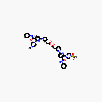 CCS(=O)(=O)N1CCN(c2nc(N3CCC[C@@H](CC(=O)OC(=O)C[C@@H]4CCCN(c5ccc(C(=O)NC6CCCCC6)c(N6CCN(C(C)=O)CC6)n5)C4)C3)ccc2C(=O)NC2CCCCC2)CC1